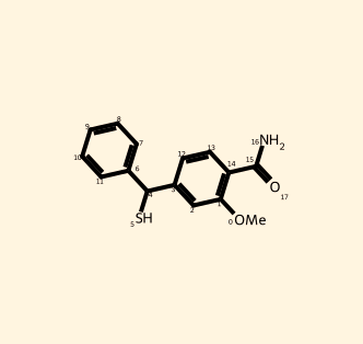 COc1cc(C(S)c2ccccc2)ccc1C(N)=O